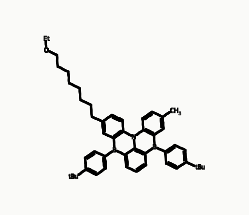 CCOCCCCCCCCc1ccc2c(c1)B(c1ccc(C(C)(C)C)cc1)c1cccc3c1N2c1ccc(C)cc1B3c1ccc(C(C)(C)C)cc1